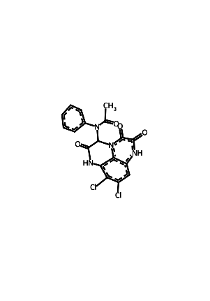 CC(=O)N(c1ccccc1)C1C(=O)Nc2c(Cl)c(Cl)cc3[nH]c(=O)c(=O)n1c23